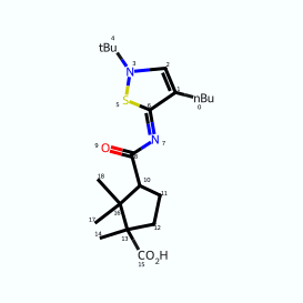 CCCCc1cn(C(C)(C)C)sc1=NC(=O)C1CCC(C)(C(=O)O)C1(C)C